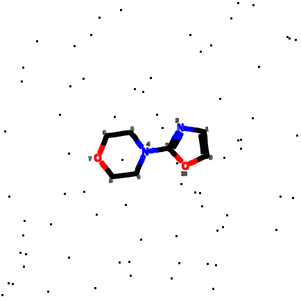 [c]1cnc(N2CCOCC2)o1